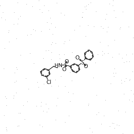 O=S(=O)(NCCc1cccc(Cl)c1)c1cccc(S(=O)(=O)c2ccccc2)c1